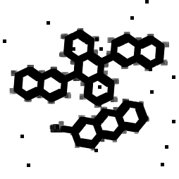 CC(C)(C)c1ccc2cc3ccccc3cc2c1.c1ccc2cc(-c3c4ccccc4c(-c4ccc5ccccc5c4)c4ccccc34)ccc2c1